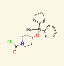 CC(C)(C)[Si](OC1CCN(C(=O)Cl)CC1)(c1ccccc1)c1ccccc1